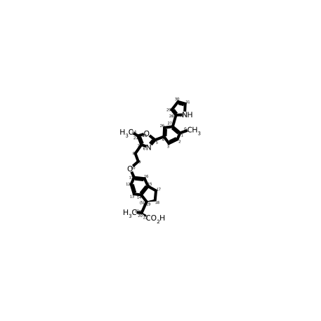 Cc1ccc(-c2nc(CCOc3ccc4c(c3)CC[C@H]4[C@H](C)C(=O)O)c(C)o2)cc1-c1ccc[nH]1